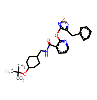 CC(C)(OC1CCC(CNC(=O)c2cccnc2Oc2nsnc2Cc2ccccc2)CC1)C(=O)O